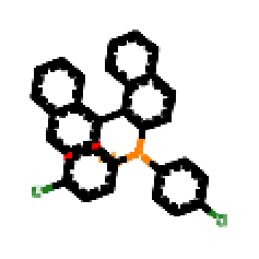 Pc1ccc2ccccc2c1-c1c(P(c2ccc(Cl)cc2)c2ccc(Cl)cc2)ccc2ccccc12